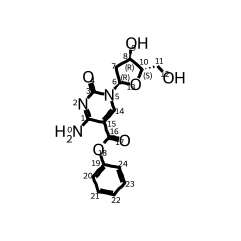 Nc1nc(=O)n([C@H]2C[C@@H](O)[C@H](CO)O2)cc1C(=O)Oc1ccccc1